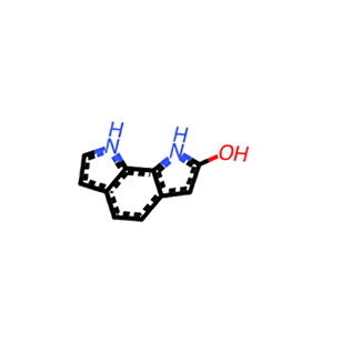 Oc1cc2ccc3cc[nH]c3c2[nH]1